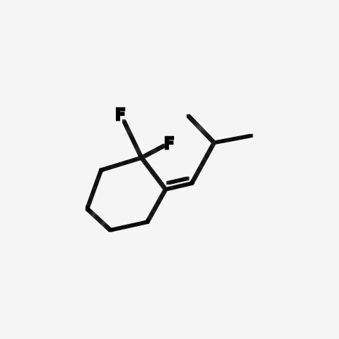 CC(C)/C=C1/CCCCC1(F)F